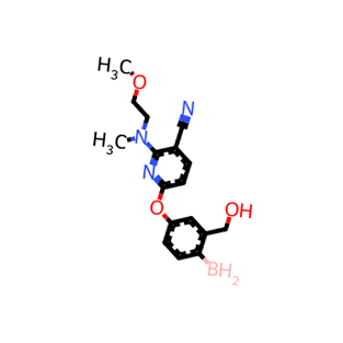 Bc1ccc(Oc2ccc(C#N)c(N(C)CCOC)n2)cc1CO